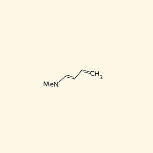 C=CC=CNC